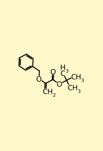 C=C(OCc1ccccc1)C(=O)OC(C)(C)C